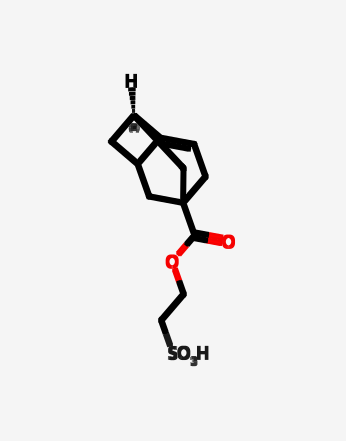 O=C(OCCS(=O)(=O)O)C12CC=C3C(C[C@@H]3C1)C2